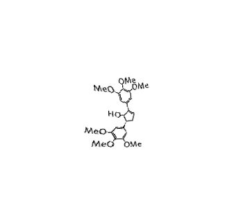 COc1cc(C2=CC[C@@H](c3cc(OC)c(OC)c(OC)c3)[C@H]2O)cc(OC)c1OC